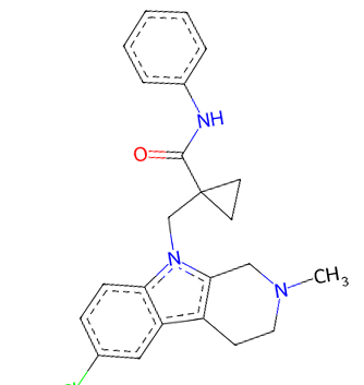 CN1CCc2c(n(CC3(C(=O)Nc4ccccc4)CC3)c3ccc(Cl)cc23)C1